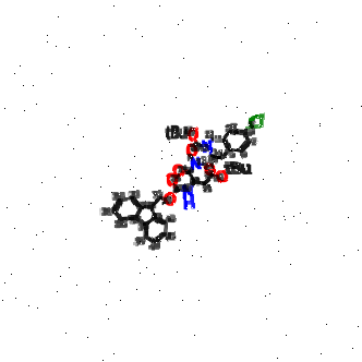 CN(C[C@@H](Cc1ccc(Cl)cc1)N(C)C(=O)OC(C)(C)C)C(=O)[C@@H](CC(=O)OC(C)(C)C)NC(=O)OCC1c2ccccc2-c2ccccc21